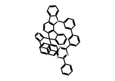 c1ccc(-c2nc(-c3ccccc3)nc(-c3cccc(-c4cccc(-n5c6ccccc6c6ccc7c(c65)-c5ccccc5C75c6ccccc6Oc6ccccc65)c4)c3)n2)cc1